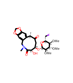 CO[C@@H]1[C@@H](OC)[C@H](O[C@@H]2CC(=O)[C@@H](C)c3cc4c(cc3CN(C)C(=O)[C@H]2O)OCO4)O[C@H](CI)[C@H]1OC